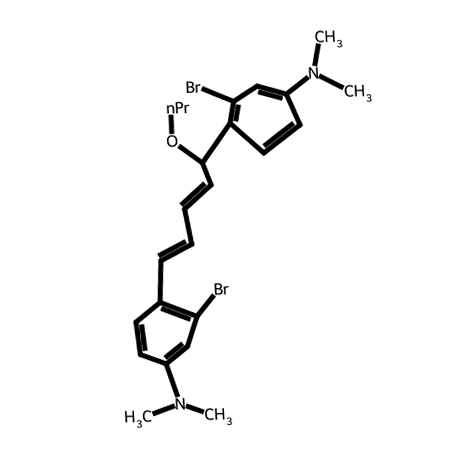 CCCOC(/C=C/C=C/c1ccc(N(C)C)cc1Br)c1ccc(N(C)C)cc1Br